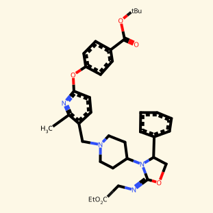 CCOC(=O)CN=C1OCC(c2ccccc2)N1C1CCN(Cc2ccc(Oc3ccc(C(=O)OC(C)(C)C)cc3)nc2C)CC1